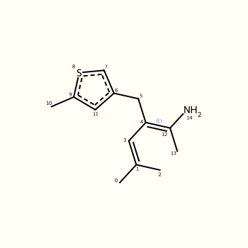 CC(C)=C/C(Cc1csc(C)c1)=C(\C)N